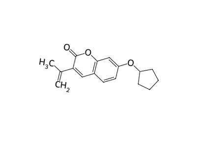 C=C(C)c1cc2ccc(OC3CCCC3)cc2oc1=O